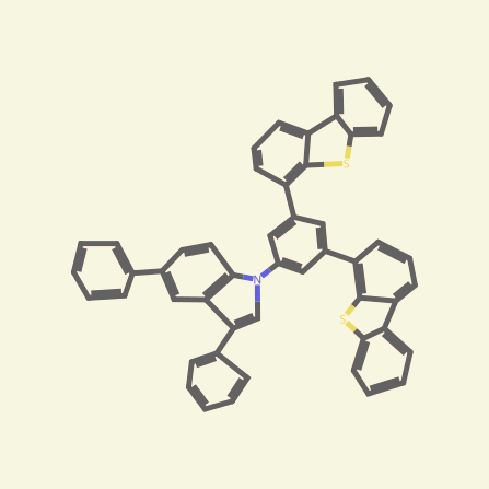 c1ccc(-c2ccc3c(c2)c(-c2ccccc2)cn3-c2cc(-c3cccc4c3sc3ccccc34)cc(-c3cccc4c3sc3ccccc34)c2)cc1